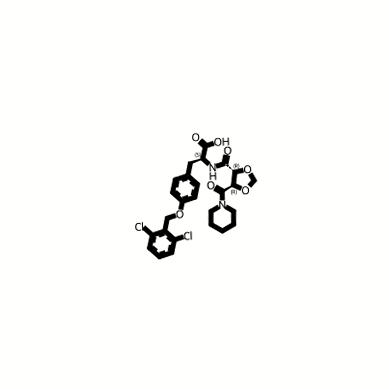 O=C(O)[C@H](Cc1ccc(OCc2c(Cl)cccc2Cl)cc1)NC(=O)[C@@H]1OCO[C@H]1C(=O)N1CCCCC1